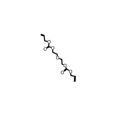 C=CCOC(=O)OCCOCCOC(=O)OCC=C